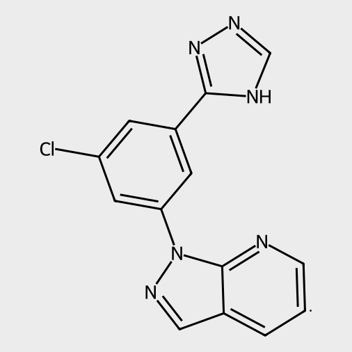 Clc1cc(-c2nnc[nH]2)cc(-n2ncc3c[c]cnc32)c1